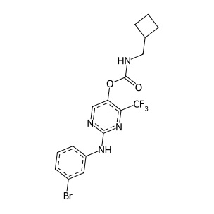 O=C(NCC1CCC1)Oc1cnc(Nc2cccc(Br)c2)nc1C(F)(F)F